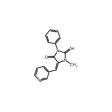 CN1C(=[Se])N(c2ccccc2)C(=O)C1=Cc1cccnc1